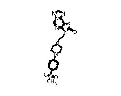 CS(=O)(=O)c1ccc(N2CCN(CCn3c(=O)sc4c3ncn3ncnc43)CC2)cc1